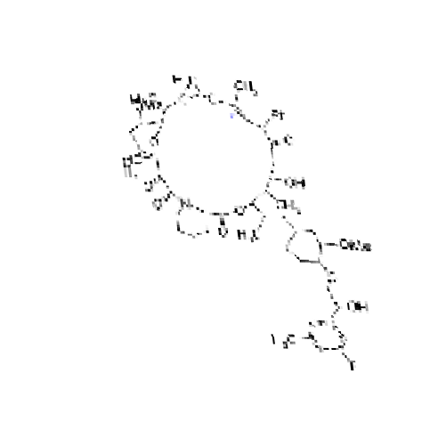 CCC1/C=C(\C)CC(C)CC(OC)C2OC(O)(C(=O)C(=O)N3CCCCC3C(=O)OC(C(C)=CC3CCC(OCC(O)c4cc(C)cc(F)c4)C(OC)C3)C(C)C(O)CC1=O)C(C)CC2OC